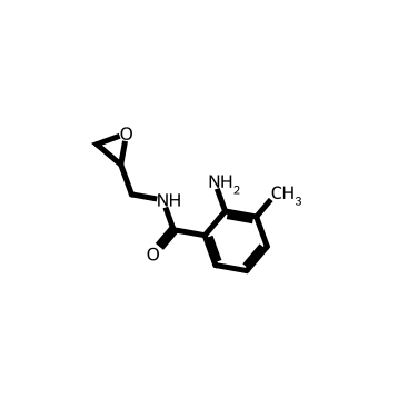 Cc1cccc(C(=O)NCC2CO2)c1N